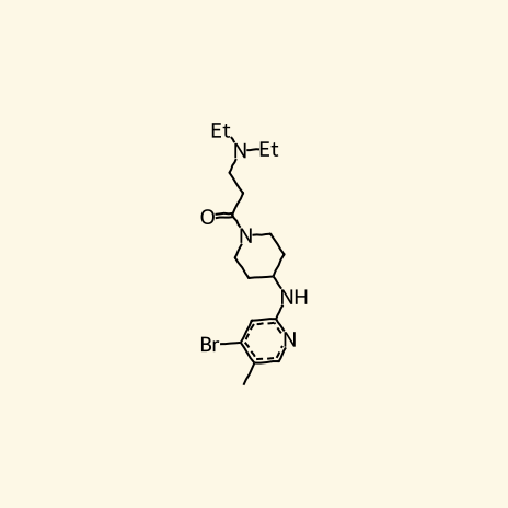 CCN(CC)CCC(=O)N1CCC(Nc2cc(Br)c(C)cn2)CC1